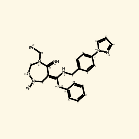 CCN1C/C(=C(/NCc2ccc(-n3cccn3)cc2)Nc2ccccc2)C(=N)N(CC(C)C)CO1